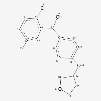 Cc1ccc(Cl)c(C(O)c2ccc(OC3CCOC3)cc2)c1